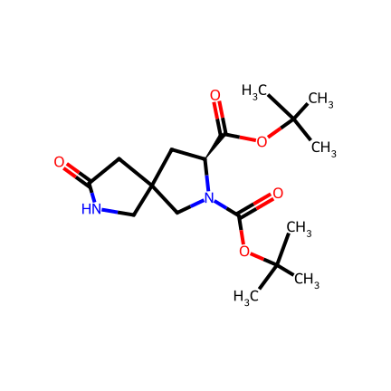 CC(C)(C)OC(=O)[C@@H]1CC2(CNC(=O)C2)CN1C(=O)OC(C)(C)C